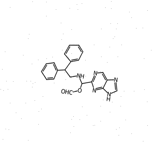 O=COC(NCC(c1ccccc1)c1ccccc1)c1ncc2nc[nH]c2n1